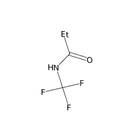 CCC(=O)NC(F)(F)F